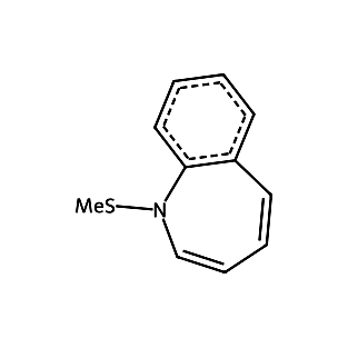 CSN1C=CC=Cc2ccccc21